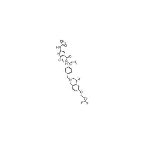 CC(=O)Nc1nc(C)c(C(=O)N[C@@H](C)c2ccc(CN3Cc4ccc(OCC5CC5(F)F)cc4C(F)C3)cc2)s1